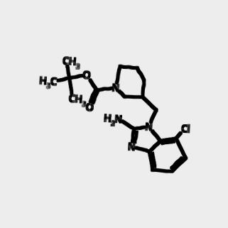 CC(C)(C)OC(=O)N1CCCC(Cn2c(N)nc3cccc(Cl)c32)C1